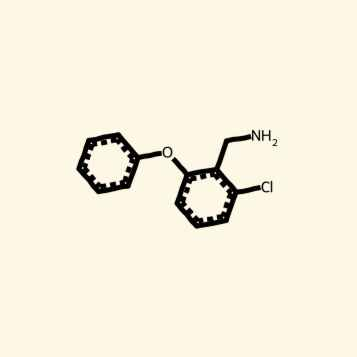 NCc1c(Cl)cccc1Oc1ccccc1